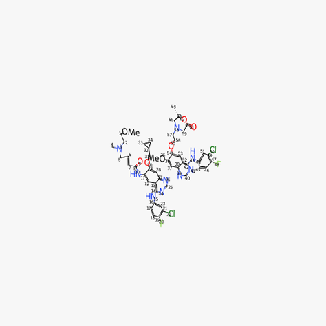 COCCN(C)CC=CC(=O)Nc1cc2c(Nc3ccc(F)c(Cl)c3)ncnc2cc1OCC1CC1.COc1cc2ncnc(Nc3ccc(F)c(Cl)c3)c2cc1OCCN1CC(=O)O[C@@H](C)C1